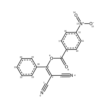 N#CC(C#N)=C(OC(=O)c1ccc([N+](=O)[O-])cc1)c1ccccc1